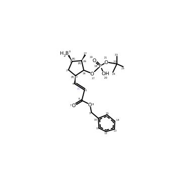 B[C@@H]1C[C@H](/C=C/C(=O)OCc2ccccc2)C(OP(=O)(O)OC(C)(C)C)[C@@H]1C